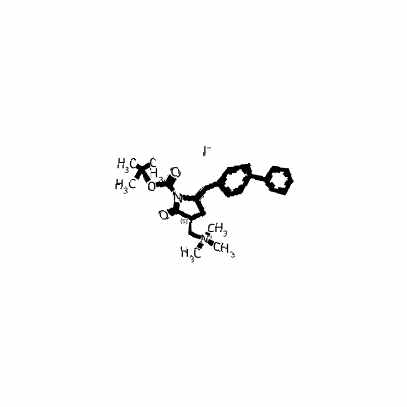 CC(C)(C)OC(=O)N1C(=O)[C@H](C[N+](C)(C)C)CC1Cc1ccc(-c2ccccc2)cc1.[I-]